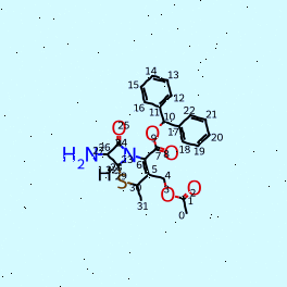 CC(=O)OCC1=C(C(=O)OC(c2ccccc2)c2ccccc2)N2C(=O)C(N)[C@@H]2SC1C